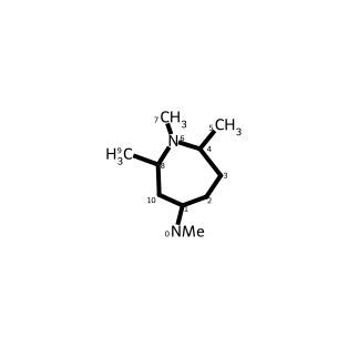 CNC1CCC(C)N(C)C(C)C1